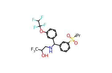 CC(C)S(=O)(=O)c1cccc(C(NCC(O)C(F)(F)F)c2cccc(OC(F)(F)C(F)F)c2)c1